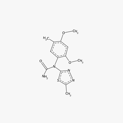 COc1cc(OC)c(N(C(N)=O)c2nnc(C)s2)cc1C